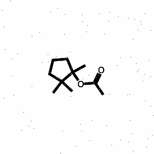 CC(=O)OC1(C)CCCC1(C)C